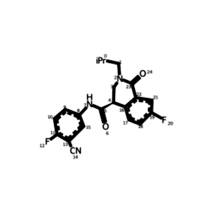 CC(C)CN1C[C@H](C(=O)Nc2ccc(F)c(C#N)c2)c2ccc(F)cc2C1=O